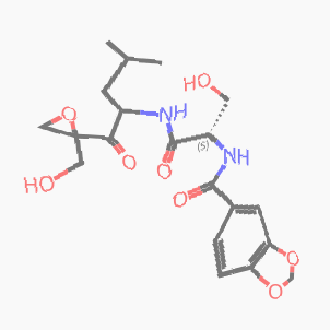 CC(C)CC(NC(=O)[C@H](CO)NC(=O)c1ccc2c(c1)OCO2)C(=O)C1(CO)CO1